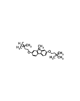 Cn1c2cc(OCC[N+](C)(C)C)ccc2c2ccc(OCC[N+](C)(C)C)cc21